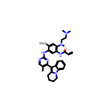 C=CC(=O)Nc1cc(Nc2ncc(C)c(-c3c4n(c5ccccc35)CCCC4)n2)c(OC)cc1N(C)CCN(C)C